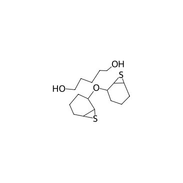 C1CC(OC2CCCC3SC23)C2SC2C1.OCCCCCO